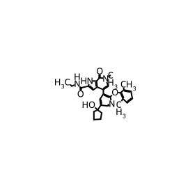 CCNC(=O)c1cc2c(-c3cc(C4(O)CCCC4)cnc3Oc3c(C)cccc3C)cn(C)c(=O)c2[nH]1